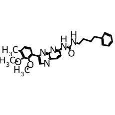 COc1c(C)ccc(-c2cnc3ccc(NC(=O)NCCCCc4ccccc4)nc3n2)c1OC